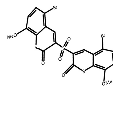 COc1ccc(Br)c2cc(S(=O)(=O)c3cc4c(Br)ccc(OC)c4sc3=O)c(=O)sc12